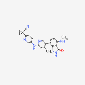 CNc1ccc(-c2cnc(Nc3ccc(C4(C#N)CC4)nc3)cc2C)c2c1C(=O)NC2